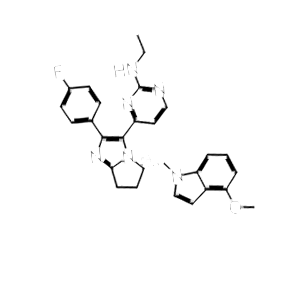 CCNc1nccc(-c2c(-c3ccc(F)cc3)nc3n2[C@H](Cn2ccc4c(OC)cccc42)CC3)n1